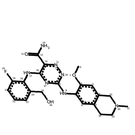 COc1cc2c(cc1Nc1nnc(C(N)=O)c(Nc3c(F)cccc3CO)n1)CCN(C)C2